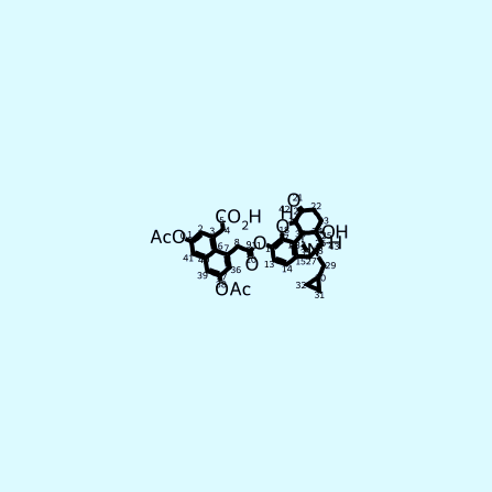 CC(=O)Oc1cc(CC(=O)O)c2c(CC(=O)Oc3ccc4c5c3O[C@H]3C(=O)CC[C@@]6(O)[C@@H](C4)N(CC4CC4)CC[C@]536)cc(OC(C)=O)cc2c1